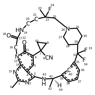 Cc1nc2c3cc(C4(C#N)CC4)c(=O)n(c3n1)CC(=O)NCCC(C)(F)CN1CCC(CC1)C(F)(F)c1cccc(c1)[C@@H](C)N2